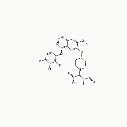 COc1cc2ncnc(Nc3ccc(F)c(Cl)c3F)c2cc1OC1CCN(/C(C(=O)O)=C(/C)C=O)CC1